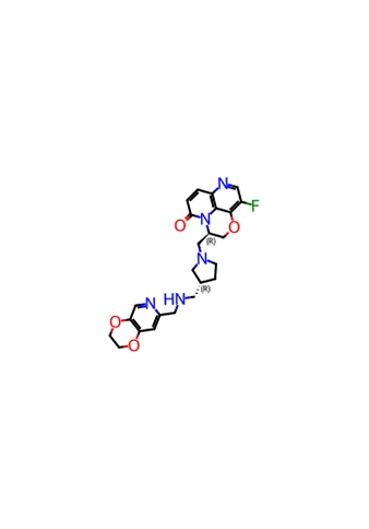 O=c1ccc2ncc(F)c3c2n1[C@H](CN1CC[C@H](CNCc2cc4c(cn2)OCCO4)C1)CO3